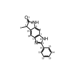 CC1C(=O)Nc2cc3[nH]c(-c4ccccc4)nc3cc21